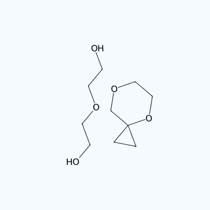 C1COC2(CC2)CO1.OCCOCCO